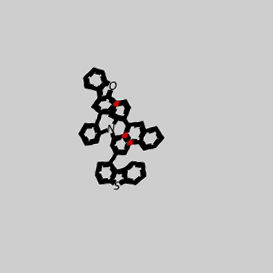 c1cc(-c2cccc3sc4ccccc4c23)cc(N(c2ccccc2-c2ccc3ccccc3c2)c2ccccc2-c2ccc3oc4ccccc4c3c2)c1